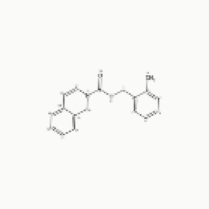 Cc1ccccc1COC(=O)N1C=Cc2ccccc2C1